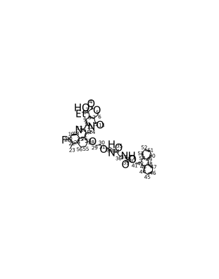 CC[C@@]1(O)C(=O)OCc2c1cc1n(c2=O)Cc2c-1nc1cc(F)c(C)c3c1c2[C@@H](OCCOCNC(=O)CNC(=O)OCC1c2ccccc2-c2ccccc21)CC3